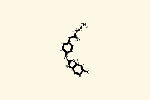 CONC(=O)Cc1ccc(Oc2nc3ccc(Cl)cc3s2)cc1